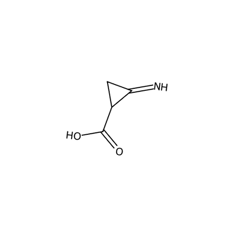 N=C1CC1C(=O)O